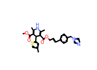 COC(=O)C1=C(C)NC(C)=C(C(=O)OCC=Cc2ccc(Cn3ccnc3)cc2)C1c1cc(C)cs1